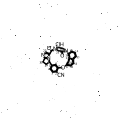 Cl.N#Cc1ccc2cc1Oc1ccc3cccc(c3c1)N1CCN(CC1=O)C(=O)c1cnc3n1C2CC3